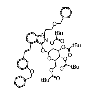 CC(C)(C)C(=O)OC[C@H]1O[C@@H](Oc2nn(CCOCc3ccccc3)c3cccc(/C=C/c4cccc(OCc5ccccc5)c4)c23)[C@H](OC(=O)C(C)(C)C)[C@@H](OC(=O)C(C)(C)C)[C@@H]1OC(=O)C(C)(C)C